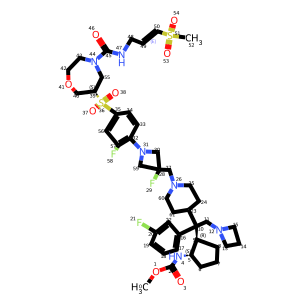 COC(=O)N[C@H]1CCC[C@@H]1C(CN1CCC1)(c1cccc(F)c1)C1CCN(CC2(F)CN(c3ccc(S(=O)(=O)[C@@H]4COCCN(C(=O)NC/C=C/S(C)(=O)=O)C4)cc3F)C2)CC1